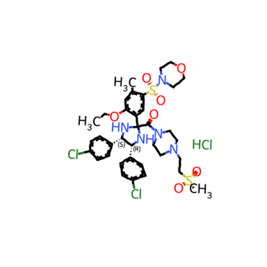 CCOc1cc(C)c(S(=O)(=O)N2CCOCC2)cc1C1(C(=O)N2CCN(CCS(C)(=O)=O)CC2)N[C@H](c2ccc(Cl)cc2)[C@H](c2ccc(Cl)cc2)N1.Cl